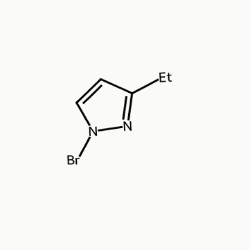 CCc1ccn(Br)n1